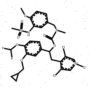 COc1ccc(CN(C)C(=O)OC(Cc2c(Cl)c[n+]([O-])cc2Cl)c2ccc(OC(F)F)c(OCC3CC3)c2)cc1NS(C)(=O)=O